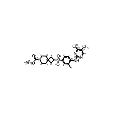 Cc1cc(S(=O)(=O)C2CC3(CCN(C(=O)OC(C)(C)C)CC3)C2)ccc1Nc1ncc(C(F)(F)F)c(Cl)n1